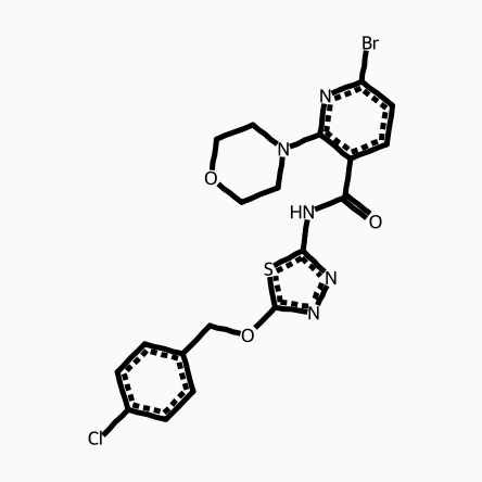 O=C(Nc1nnc(OCc2ccc(Cl)cc2)s1)c1ccc(Br)nc1N1CCOCC1